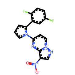 O=[N+]([O-])c1cnn2ccc(-n3cccc3-c3cc(F)ccc3F)nc12